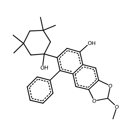 COC1Oc2cc3c(O)cc(C4(O)CC(C)(C)CC(C)(C)C4)c(-c4ccccc4)c3cc2O1